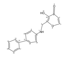 O=c1ccoc(CNc2ccc(-c3ccccc3)cc2)c1O